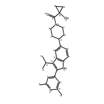 Cc1cc(-c2[nH]c3ccc(C4CCN(C(=O)C5(O)CC5)CC4)cc3c2C(C)C)cc(C)n1